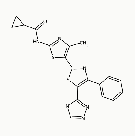 Cc1nc(NC(=O)C2CC2)sc1-c1nc(-c2ccccc2)c(-c2nnc[nH]2)s1